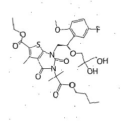 CCCCOC(=O)C(C)(C)n1c(=O)c2c(C)c(C(=O)OCC)sc2n(C[C@H](OCC(C)(O)CO)c2cc(F)ccc2OC)c1=O